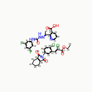 C/C(=N\NC(=O)Nc1cc(F)cc(F)c1)c1ncccc1C(=O)O.CCOC(=O)/C(Cl)=C/c1cc(N2C(=O)C3=C(CCCC3)C2=O)ccc1Cl